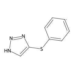 [c]1ccc(Sc2c[nH]nn2)cc1